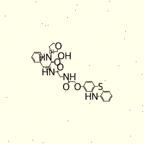 O=C(COc1ccc2c(c1)Nc1ccccc1S2)NCC(=O)N[C@@H](Cc1ccccc1)C(=O)N[C@H]1CCOC1O